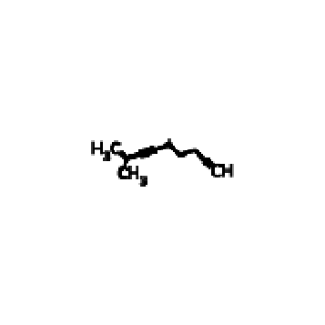 C#CCC[CH]C#CC(C)C